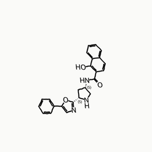 O=C(N[C@@H]1CN[C@H](c2ncc(-c3ccccc3)o2)C1)c1ccc2ccccc2c1O